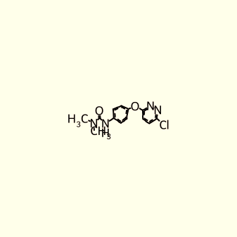 CN(C)C(=O)Nc1ccc(Oc2ccc(Cl)nn2)cc1